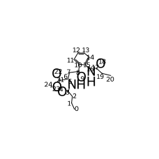 CCCC(=O)NC(CC(=O)c1ccccc1NC(=O)CC)C(=O)OC